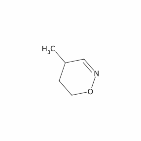 CC1C=NOCC1